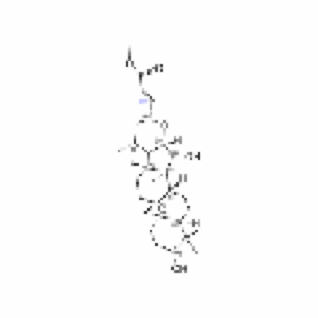 COC(=O)/C=C/[C@H]1C[C@@H](C)C2[C@H](O1)[C@H](O)[C@@]1(C)[C@@H]3CC[C@H]4C(C)(C)[C@@H](O)CC[C@@]45C[C@@]35CC[C@]21C